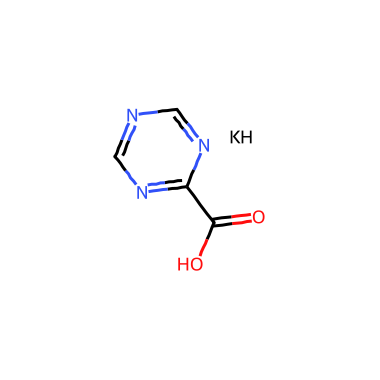 O=C(O)c1ncncn1.[KH]